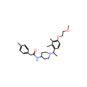 COCCOc1ccc(C(C)N2CCC(NC(=O)Cc3ccc(C)cc3)CC2)c(C)c1C